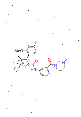 COc1c([C@H]2[C@H](C(=O)Nc3ccnc(C(=O)N4CCCN(C)C4)c3)O[C@@](C)(C(F)(F)F)[C@H]2C)ccc(F)c1F